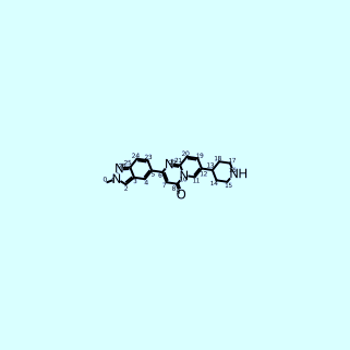 Cn1cc2cc(-c3cc(=O)n4cc(C5CCNCC5)ccc4n3)ccc2n1